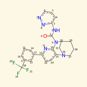 O=C(Nc1cccnn1)N1c2nc(-c3cccc(C(F)(F)F)c3)ccc2N2CCCC1C2